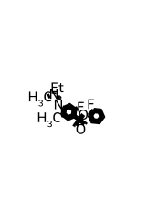 CCN(C)C=Nc1cc(F)c(C2(Oc3ccccc3F)COC2)cc1C